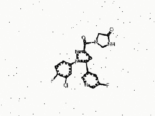 O=C1CN(C(=O)c2cc(-c3cncc(F)c3)n(-c3ccc(F)c(Cl)c3)n2)CN1